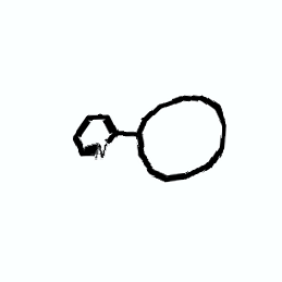 c1ccc(C2CCCCCCCCCCCC2)nc1